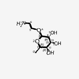 C[C@H]1OC(OCCN)[C@H](O)[C@@H](O)[C@H]1O